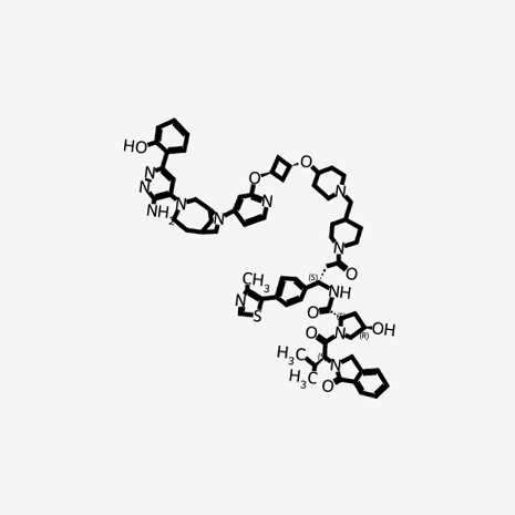 Cc1ncsc1-c1ccc([C@H](CC(=O)N2CCC(CN3CCC(O[C@H]4C[C@H](Oc5cc(N6CC7CCN(c8cc(-c9ccccc9O)nnc8N)CC6C7)ccn5)C4)CC3)CC2)NC(=O)[C@@H]2C[C@@H](O)CN2C(=O)[C@H](C(C)C)N2Cc3ccccc3C2=O)cc1